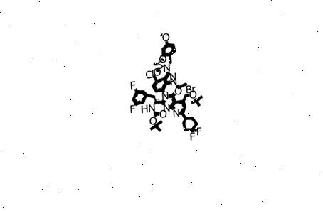 COc1ccc(CN(c2nn(CCBr)c3c(-n4c([C@H](Cc5cc(F)cc(F)c5)NC(=O)OC(C)(C)C)nc5nc(C6CCC(F)(F)CC6)cc(COC(C)(C)C)c5c4=O)ccc(Cl)c23)S(C)(=O)=O)cc1